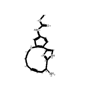 COC(=O)Nc1ccc2c(c1)OCCC/C=C\C[C@H](N)c1nc-2c[nH]1